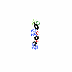 O=C(Nc1ccc(Oc2ccnc(-c3nnn[nH]3)c2)cc1)Nc1ccc(Cl)c(C(F)(F)F)c1